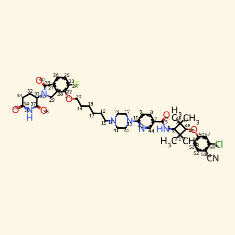 CC1(C)C(NC(=O)c2ccc(N3CCN(CCCCCCOc4c(F)ccc5c4CN(C4CCC(=O)NC4=O)C5=O)CC3)nc2)C(C)(C)C1Oc1ccc(C#N)c(Cl)c1